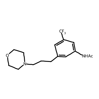 CC(=O)Nc1cc(CCCN2CCOCC2)cc(C(F)(F)F)c1